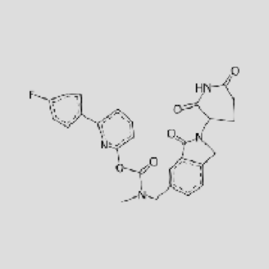 CN(Cc1ccc2c(c1)C(=O)N(C1CCC(=O)NC1=O)C2)C(=O)Oc1cccc(-c2ccc(F)cc2)n1